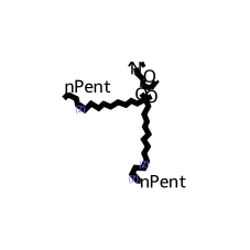 CCCCC/C=C\C/C=C\CCCCCCCCC1(CCCCCCCC/C=C\CC(C)CCCCC)OC2COC(CN(C)C)C2O1